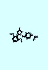 COc1cccc(OC)c1C1CC(C)CN1Cc1ccc(OC(F)F)nc1